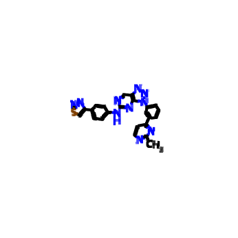 Cc1nccc(-c2cccc(-n3nnc4cnc(Nc5ccc(-c6csnn6)cc5)nc43)c2)n1